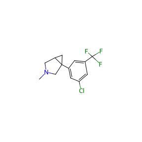 CN1CC2CC2(c2cc(Cl)cc(C(F)(F)F)c2)C1